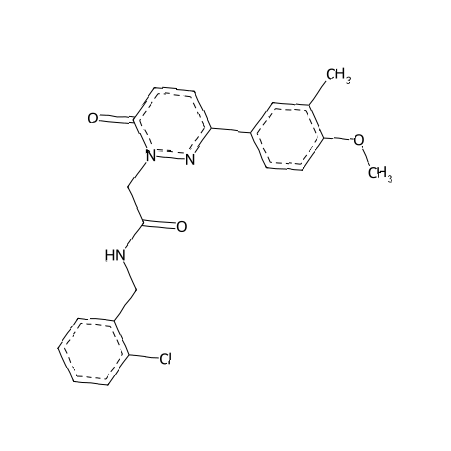 COc1ccc(-c2ccc(=O)n(CC(=O)NCc3ccccc3Cl)n2)cc1C